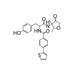 CC1OCC(=O)C1(C)NC(=O)C(Cc1ccc(O)cc1)NC(=O)c1ccc(-c2cccs2)cc1